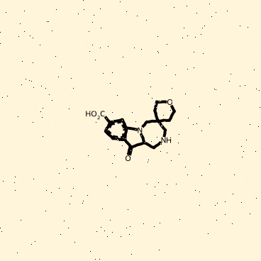 O=C(O)c1ccc2c(c1)N1CC3(CCOCC3)CNCC1C2=O